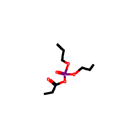 CCCOP(=O)(OCCC)OC(=O)CC